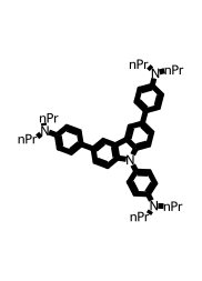 CCCN(CCC)c1ccc(-c2ccc3c(c2)c2cc(-c4ccc(N(CCC)CCC)cc4)ccc2n3-c2ccc(N(CCC)CCC)cc2)cc1